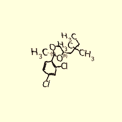 CCC(C)(C)C[C@@H]1CO[C@](C)(c2ccc(Cl)cc2Cl)O1